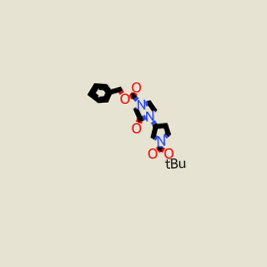 CC(C)(C)OC(=O)N1CCC(N2CCN(C(=O)OCc3ccccc3)CC2=O)C1